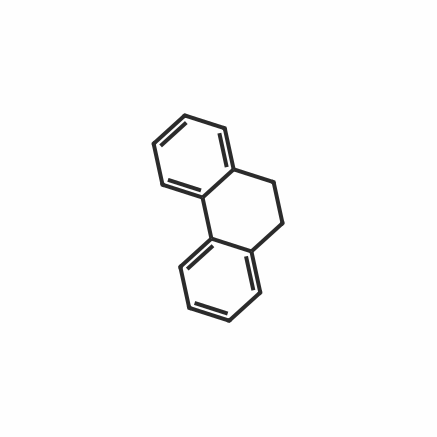 c1ccc2c(c1)CCc1ccccc1-2